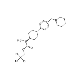 CN(C(=O)OCC(Cl)(Cl)Cl)[C@H]1CC[C@H](c2ccc(CN3CCCCC3)cc2)CC1